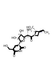 C/C=C1\CN(C(=O)[C@@H](N)[C@H]2O[C@@H](n3cc(CO)c(=O)[nH]c3=O)[C@H](O)[C@@H]2O)[C@@H]1C(=O)O